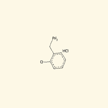 Cl.PCc1ccccc1Cl